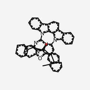 Cc1ccccc1-c1cc(-n2c3ccccc3c3ccc4c5ccccc5n(-c5nc(-c6ccccc6)nc(-c6ccccc6)n5)c4c32)cc2c1oc1ccccc12